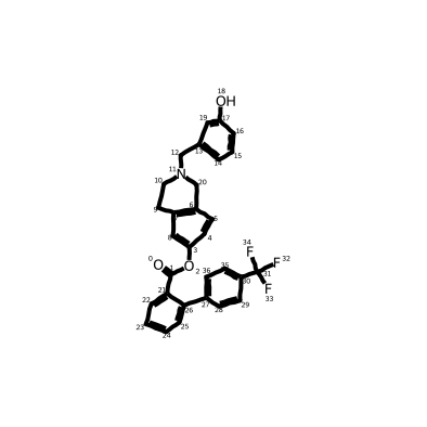 O=C(Oc1ccc2c(c1)CCN(Cc1cccc(O)c1)C2)c1ccccc1-c1ccc(C(F)(F)F)cc1